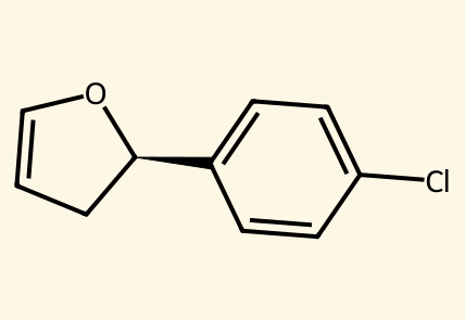 Clc1ccc([C@H]2CC=CO2)cc1